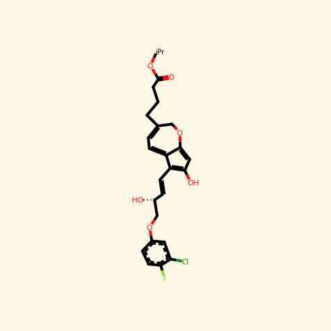 CC(C)OC(=O)CCCC1=CC=C2C(=CC(O)=C2/C=C/[C@@H](O)COc2ccc(F)c(Cl)c2)OC1